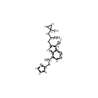 NC(Cc1sc2c(NCc3cccs3)cnnc2c1Br)CC1(F)CC1